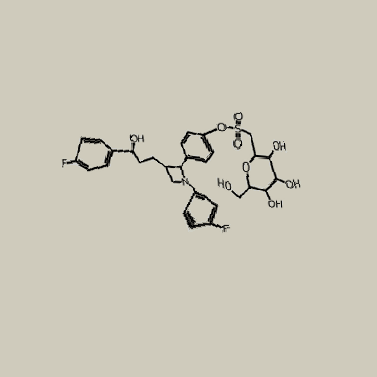 O=S(=O)(CC1OC(CO)C(O)C(O)C1O)Oc1ccc([C@@H]2C(CC[C@H](O)c3ccc(F)cc3)CN2c2ccc(F)cc2)cc1